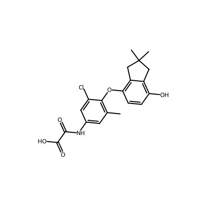 Cc1cc(NC(=O)C(=O)O)cc(Cl)c1Oc1ccc(O)c2c1CC(C)(C)C2